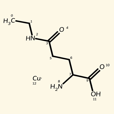 CCNC(=O)CCC(N)C(=O)O.[Cu]